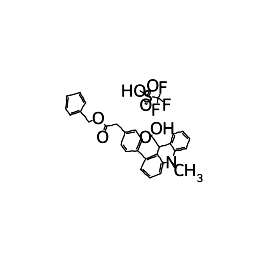 CN1c2ccccc2C(C(=O)O)c2c(-c3ccc(CC(=O)OCc4ccccc4)cc3)cccc21.O=S(=O)(O)C(F)(F)F